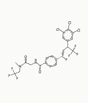 CN(CC(F)(F)F)C(=O)CNC(=O)c1ccc(/C(F)=C/C(c2cc(Cl)c(Cl)c(Cl)c2)C(F)(F)F)cc1